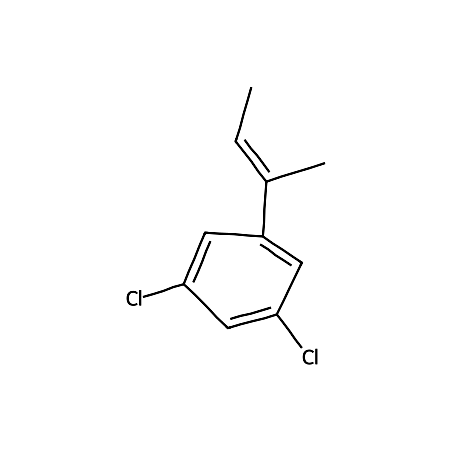 CC=C(C)c1cc(Cl)cc(Cl)c1